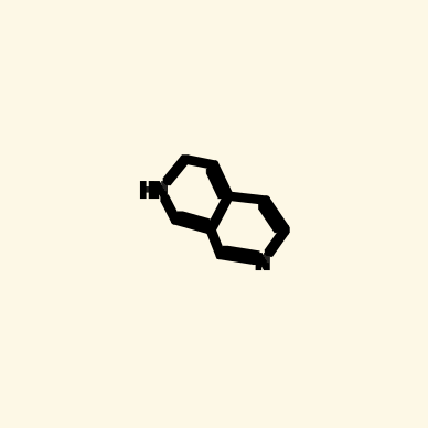 C1=c2ccncc2=CNC1